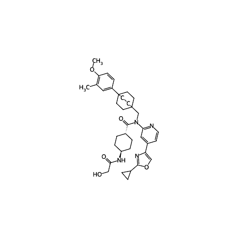 COc1ccc(C23CCC(CN(c4cc(-c5coc(C6CC6)n5)ccn4)C(=O)[C@H]4CC[C@H](NC(=O)CO)CC4)(CC2)CC3)cc1C